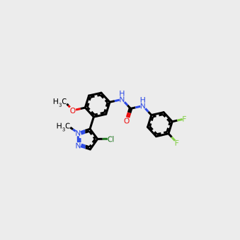 COc1ccc(NC(=O)Nc2ccc(F)c(F)c2)cc1-c1c(Cl)cnn1C